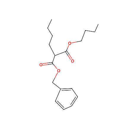 CCCCOC(=O)C(CCCC)C(=O)OCc1ccccc1